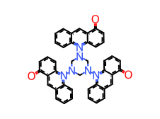 O=c1cccc2n(N3CN(n4c5cccc(=O)c-5cc5ccccc54)CN(n4c5cccc(=O)c-5cc5ccccc54)C3)c3ccccc3cc1-2